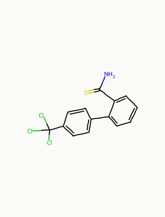 NC(=S)c1ccccc1-c1ccc(C(Cl)(Cl)Cl)cc1